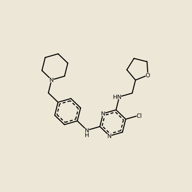 Clc1cnc(Nc2ccc(CN3CCCCC3)cc2)nc1NCC1CCCO1